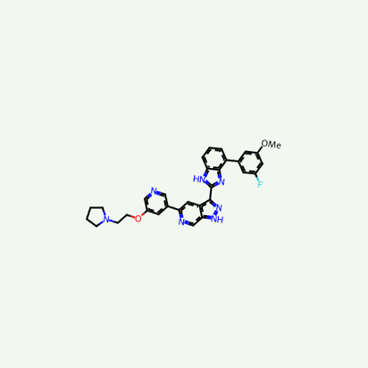 COc1cc(F)cc(-c2cccc3[nH]c(-c4n[nH]c5cnc(-c6cncc(OCCN7CCCC7)c6)cc45)nc23)c1